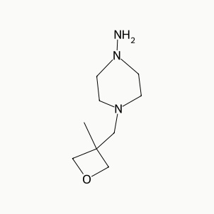 CC1(CN2CCN(N)CC2)COC1